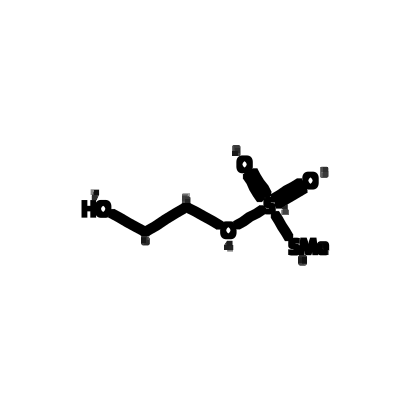 CSS(=O)(=O)OCCO